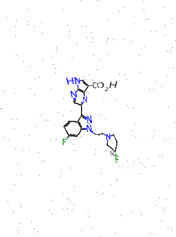 O=C(O)c1c[nH]c2ncc(-c3nn(CCN4CC[C@H](F)C4)c4cc(F)ccc34)nc12